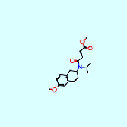 COC(=O)CCC(=O)N(C(C)C)C1CCc2cc(OC)ccc2C1